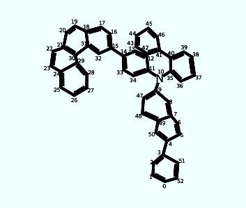 c1ccc(-c2ccc3cc(N(c4ccc(-c5ccc6ccc7ccc8ccccc8c7c6c5)cc4)c4ccccc4-c4ccccc4)ccc3c2)cc1